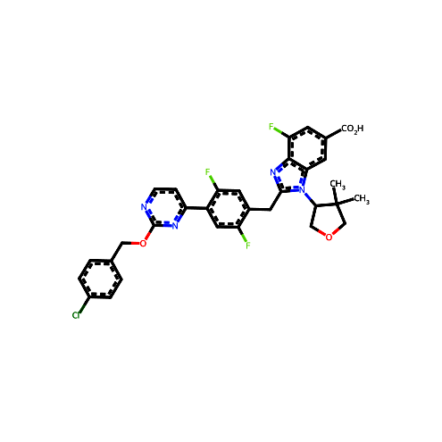 CC1(C)COCC1n1c(Cc2cc(F)c(-c3ccnc(OCc4ccc(Cl)cc4)n3)cc2F)nc2c(F)cc(C(=O)O)cc21